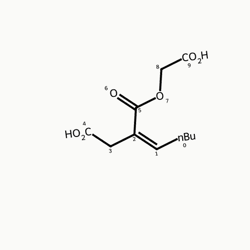 CCCCC=C(CC(=O)O)C(=O)OCC(=O)O